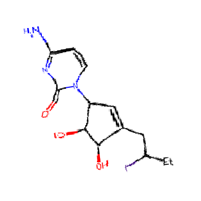 CCC(I)CC1=CC(n2ccc(N)nc2=O)[C@H](O)[C@@H]1O